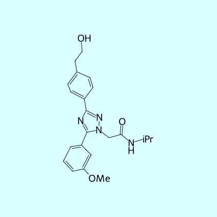 COc1cccc(-c2nc(-c3ccc(CCO)cc3)nn2CC(=O)NC(C)C)c1